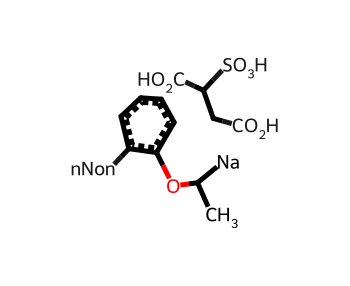 CCCCCCCCCc1ccccc1O[CH](C)[Na].O=C(O)CC(C(=O)O)S(=O)(=O)O